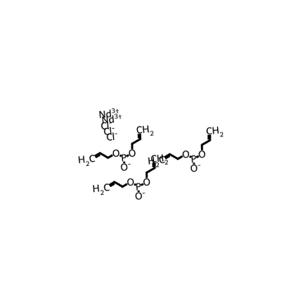 C=CCOP([O-])OCC=C.C=CCOP([O-])OCC=C.C=CCOP([O-])OCC=C.[Cl-].[Cl-].[Cl-].[Nd+3].[Nd+3]